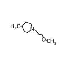 COCCCN1CCC(C)CC1